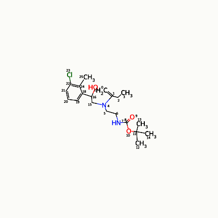 C=C(CC)N(CCNC(=O)OC(C)(C)C)CC(O)c1cccc(Cl)c1C